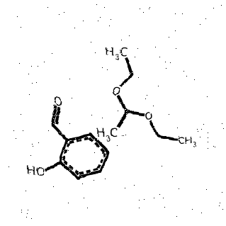 CCOC(C)OCC.O=Cc1ccccc1O